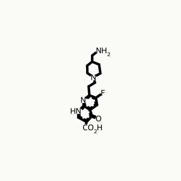 NCC1CCN(CCc2nc3[nH]cc(C(=O)O)c(=O)c3cc2F)CC1